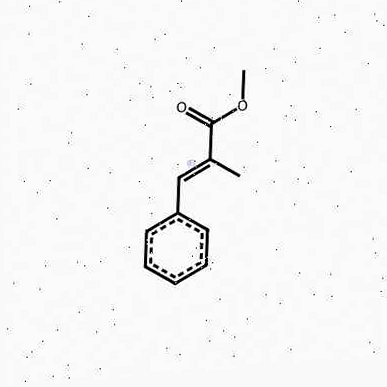 COC(=O)/C(C)=C/c1ccccc1